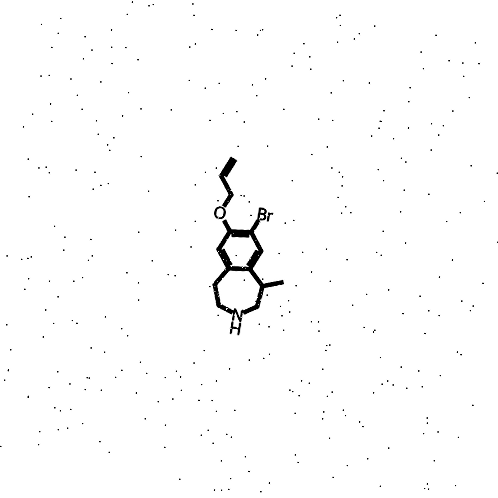 C=CCOc1cc2c(cc1Br)C(C)CNCC2